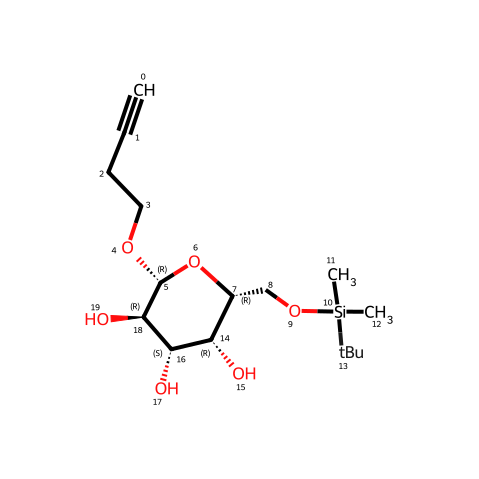 C#CCCO[C@@H]1O[C@H](CO[Si](C)(C)C(C)(C)C)[C@H](O)[C@H](O)[C@H]1O